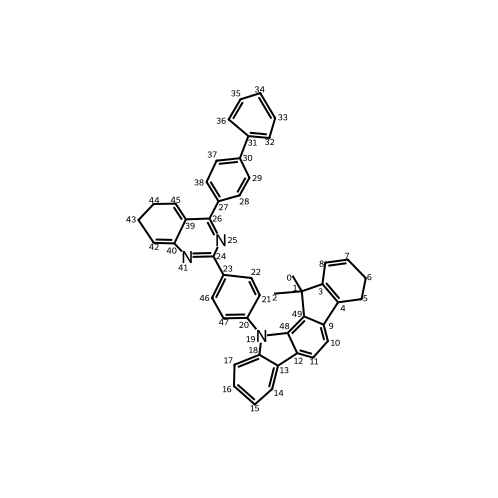 CC1(C)C2=C(CCC=C2)c2ccc3c4ccccc4n(-c4ccc(-c5nc(-c6ccc(-c7ccccc7)cc6)c6c(n5)=CCCC=6)cc4)c3c21